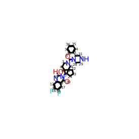 O=C(N1CCC(O)(Cn2cnc3cc(F)c(F)cc3c2=O)C2(CCCC2)C1)N1CCNC[C@H]1c1ccccc1